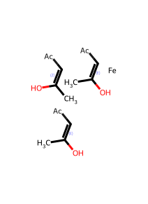 CC(=O)/C=C(/C)O.CC(=O)/C=C(\C)O.CC(=O)/C=C(\C)O.[Fe]